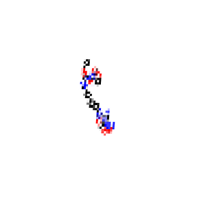 COC(=O)N[C@H](C(=O)N1CCC[C@H]1c1ncc(-c2ccc3cc(-c4ccc(-c5cnc([C@@H]6C[C@H](OCCC7CCCC7)CN6C(=O)[C@H](NC(=O)OC)c6ccccc6)[nH]5)cc4)ccc3c2)[nH]1)C(C)C